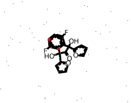 O=C(C(O)(c1cccc(F)c1)c1ccco1)C(O)(c1cccc(F)c1)c1ccco1